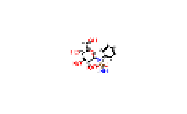 NS(=O)(=O)N(c1ccccc1)C1O[C@H](CO)[C@@H](O)[C@H](O)[C@H]1O